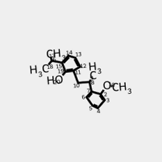 COc1ccccc1C(C)Cc1cccc(C(C)C)c1O